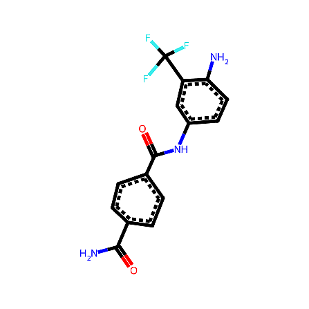 NC(=O)c1ccc(C(=O)Nc2ccc(N)c(C(F)(F)F)c2)cc1